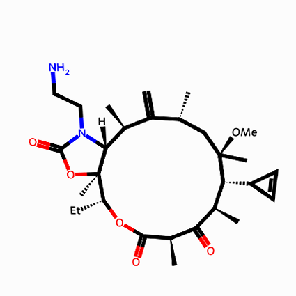 C=C1[C@H](C)C[C@@](C)(OC)[C@H](C2C=C2)[C@@H](C)C(=O)[C@@H](C)C(=O)O[C@H](CC)[C@@]2(C)OC(=O)N(CCN)[C@@H]2[C@H]1C